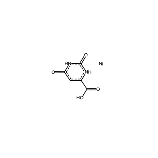 O=C(O)c1cc(=O)[nH]c(=O)[nH]1.[Ni]